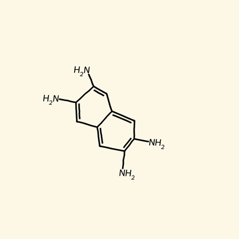 Nc1cc2cc(N)c(N)cc2cc1N